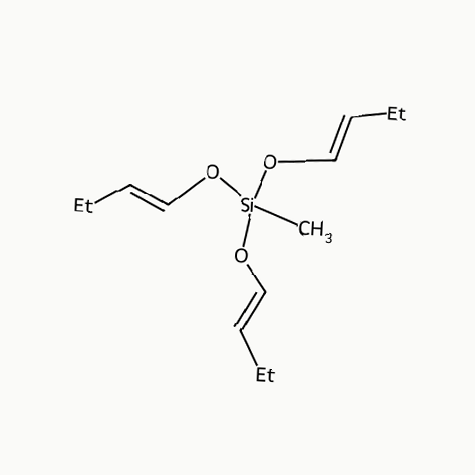 CCC=CO[Si](C)(OC=CCC)OC=CCC